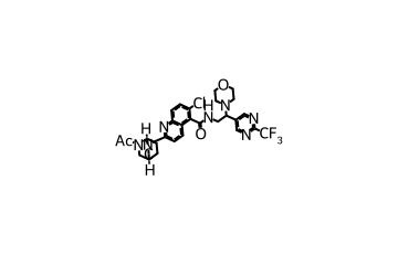 CC(=O)N1C[C@H]2CC[C@@H]1N(c1ccc3c(C(=O)NCC(c4cnc(C(F)(F)F)nc4)N4CCOCC4)c(Cl)ccc3n1)C2